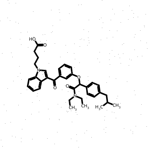 CCN(CC)C(=O)C(Oc1cccc(C(=O)c2cn(CCCC(=O)O)c3ccccc23)c1)c1ccc(CC(C)C)cc1